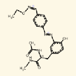 CCO/N=C\c1ccc(/N=N/c2cc(C[C@H](NC(C)=O)C(=O)NC)ccc2O)cc1